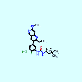 CCc1nc2cc(NC)ncc2cc1-c1ccc(F)c(NC(=O)NCCC(C)(C)C)c1.Cl